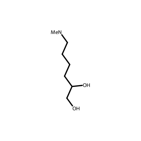 CNCCCCC(O)CO